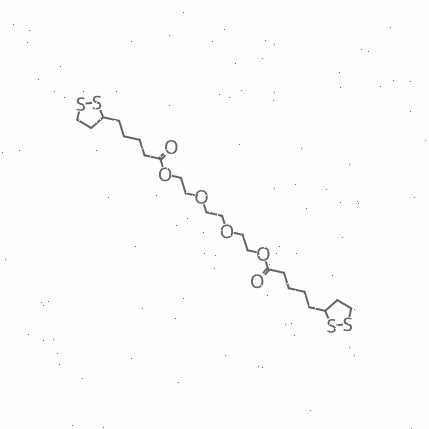 O=C(CCCCC1CCSS1)OCCOCCOCCOC(=O)CCCCC1CCSS1